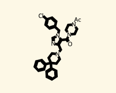 CC(=O)N1CCN(C(=O)c2c(CN3CCC(c4ccccc4)(c4ccccc4)CC3)ncn2Cc2ccc(Cl)cc2)CC1